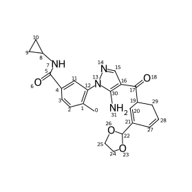 Cc1ccc(C(=O)NC2CC2)cc1-n1ncc(C(=O)C2C=C(C3OCCO3)C=CC2)c1N